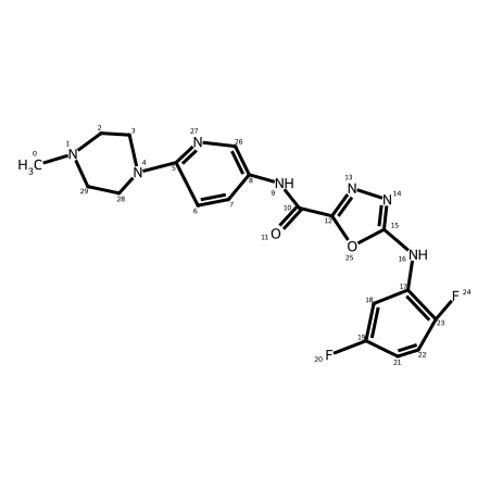 CN1CCN(c2ccc(NC(=O)c3nnc(Nc4cc(F)ccc4F)o3)cn2)CC1